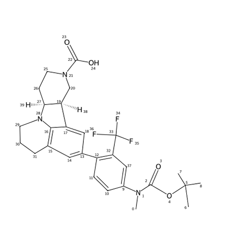 CN(C(=O)OC(C)(C)C)c1ccc(-c2cc3c4c(c2)[C@@H]2CN(C(=O)O)CC[C@@H]2N4CCC3)c(C(F)(F)F)c1